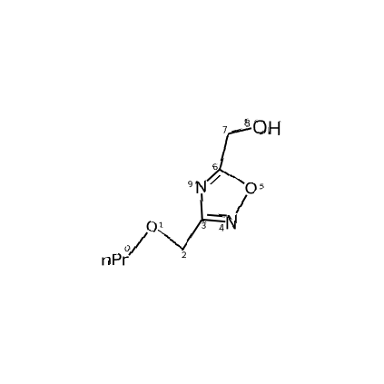 CCCOCc1noc(CO)n1